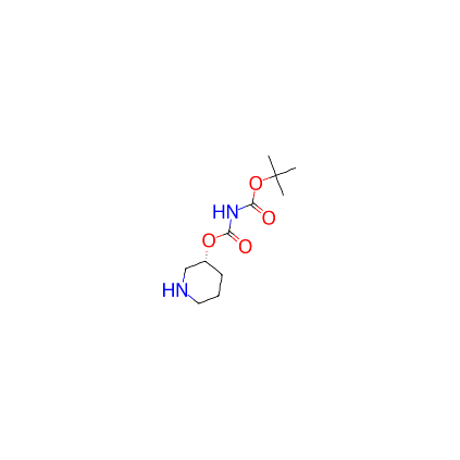 CC(C)(C)OC(=O)NC(=O)O[C@@H]1CCCNC1